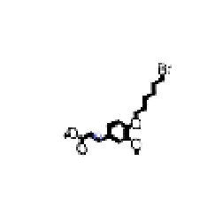 COC(=O)/C=C/c1ccc(OCCCCCCBr)c(OC)c1